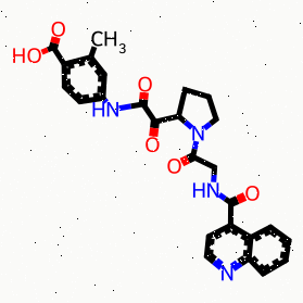 Cc1cc(NC(=O)C(=O)C2CCCN2C(=O)CNC(=O)c2ccnc3ccccc23)ccc1C(=O)O